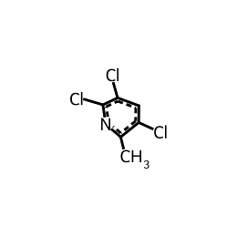 Cc1nc(Cl)c(Cl)cc1Cl